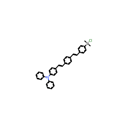 C[Si](C)(Cl)c1ccc(/C=C/c2ccc(/C=C/c3ccc(N(c4ccccc4)c4ccccc4)cc3)cc2)cc1